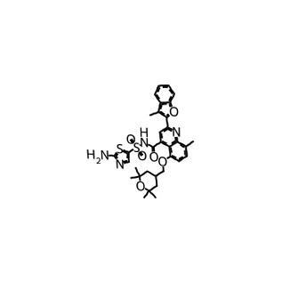 Cc1c(-c2cc(C(=O)NS(=O)(=O)c3cnc(N)s3)c3c(OCC4CC(C)(C)OC(C)(C)C4)ccc(C)c3n2)oc2ccccc12